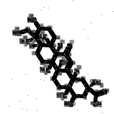 C[C@]1(C(=O)O)CC(O)[C@]2(C)CC[C@]3(C)C(=CC(=O)[C@@H]4[C@@]5(C)CCC(O)[C@](C)(CO)[C@@H]5CC[C@]43C)[C@@H]2C1